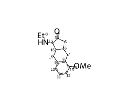 CCNC1C(=O)CC2Cc3c(cccc3OC)CC21